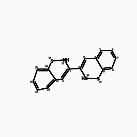 C1=C(C2=Cc3ccccc3SN2)NSc2ccccc21